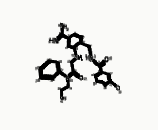 N=C(N)c1ccc(CNC(=O)c2cccc(Cl)c2)c(NCC(=O)N(CCO)c2ccccc2)c1